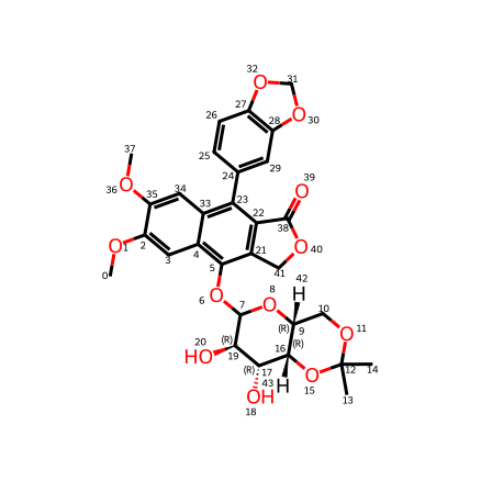 COc1cc2c(OC3O[C@@H]4COC(C)(C)O[C@@H]4[C@H](O)[C@H]3O)c3c(c(-c4ccc5c(c4)OCO5)c2cc1OC)C(=O)OC3